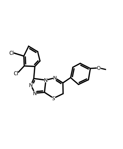 COc1ccc(C2=Nn3c(nnc3-c3cccc(Cl)c3Cl)SC2)cc1